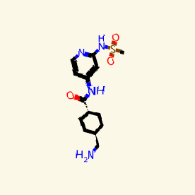 CS(=O)(=O)Nc1cc(NC(=O)[C@H]2CC[C@H](CN)CC2)ccn1